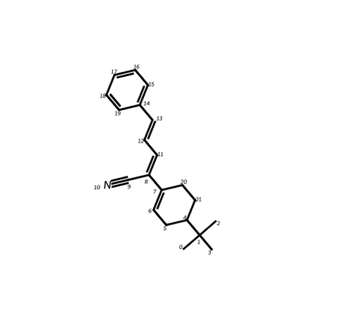 CC(C)(C)C1CC=C(C(C#N)=CC=Cc2ccccc2)CC1